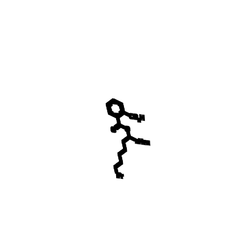 CCCCCCC(CCCCCC(C)C)OC(=O)c1ccccc1C(=O)O